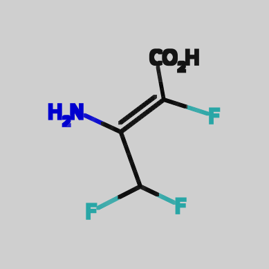 NC(=C(F)C(=O)O)C(F)F